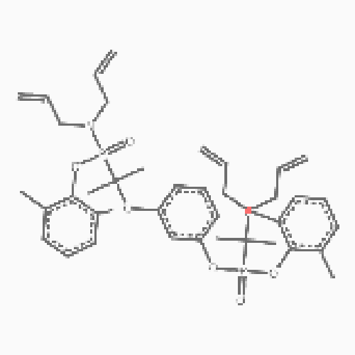 C=CCN(CC=C)C(C)(C)P(=O)(Oc1cccc(OC(C)(C)P(=O)(Oc2c(C)cccc2C)N(CC=C)CC=C)c1)Oc1c(C)cccc1C